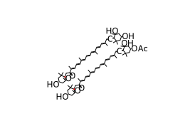 CC(=O)OC1CC(C)(C)C(=C=C/C(C)=C/C=C/C(C)=C/C=C/C=C(C)/C=C/C=C(\C)C(=O)CC23OC2(C)CC(O)CC3(C)C)C(C)(O)C1.C\C(C=C=C1C(C)(C)CC(O)CC1(C)O)=C/C=C/C(C)=C/C=C/C=C(C)/C=C/C=C(\C)C(=O)CC12OC1(C)CC(O)CC2(C)C